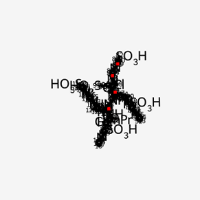 CCCOc1cc(N=Nc2ccc(N=Nc3ccccc3)cc2S(=O)(=O)O)c(Cl)cc1Nc1nc(NCCNc2nc(Cc3ccc(N=Nc4ccc(N=Nc5ccccc5)cc4S(=O)(=O)O)c(C)c3)nc(Cc3cc(Cl)c(N=Nc4ccc(N=Nc5ccc(S(=O)(=O)O)cc5)cc4)cc3OCCCS(=O)(=O)O)n2)nc(Nc2ccc(N=Nc3ccc(N=Nc4ccc(S(=O)(=O)O)cc4)cc3)c(C)c2)n1